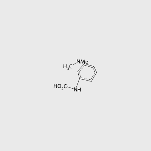 CNC.O=C(O)Nc1ccccc1